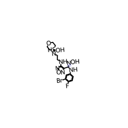 O/N=C(\Nc1ccc(F)c(Br)c1)c1nonc1NCCN=[SH]1(O)CCOCC1